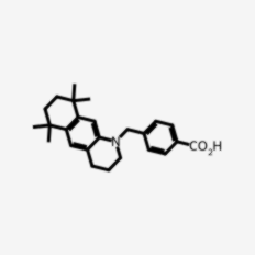 CC1(C)CCC(C)(C)c2cc3c(cc21)CCCN3Cc1ccc(C(=O)O)cc1